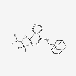 O=C(OCC12CC3CC(CC(C3)C1)C2)c1ccccc1C(=O)OC(C(F)F)C(F)(F)F